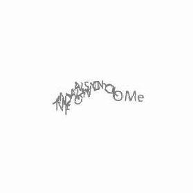 COc1ccc(CN2CCN(c3nc4c(=O)n(-c5cc(F)c6nc(C)cn6c5)cnc4s3)CC2)cc1